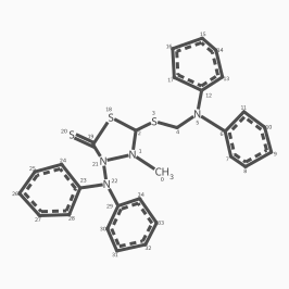 CN1C(SCN(c2ccccc2)c2ccccc2)SC(=S)N1N(c1ccccc1)c1ccccc1